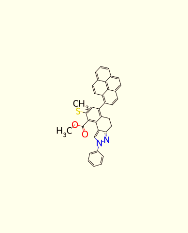 COC(=O)c1c(SC)cc(-c2ccc3ccc4cccc5ccc2c3c45)c2c1-c1cn(-c3ccccc3)nc1CC2